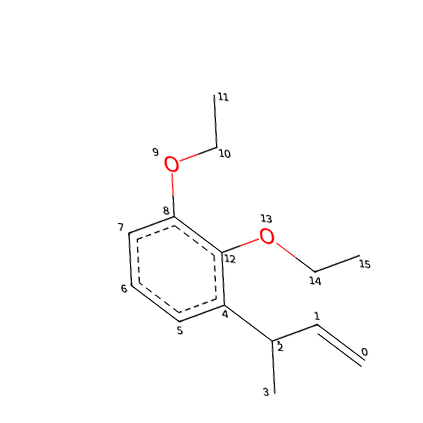 C=C[C](C)c1cccc(OCC)c1OCC